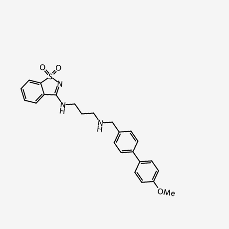 COc1ccc(-c2ccc(CNCCCNC3=NS(=O)(=O)c4ccccc43)cc2)cc1